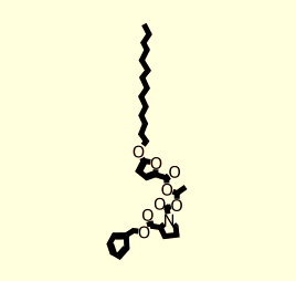 CCCCCCCCCCCCCCOc1ccc(C(=O)OC(C)OC(=O)N2CCCC2C(=O)OCc2ccccc2)o1